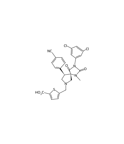 CN1C(=O)N(c2cc(Cl)cc(Cl)c2)C(=O)[C@]12CN(Cc1ccc(C(=O)O)s1)C[C@H]2c1ccc(C#N)cc1